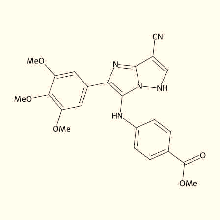 COC(=O)c1ccc(Nc2c(-c3cc(OC)c(OC)c(OC)c3)nc3c(C#N)c[nH]n23)cc1